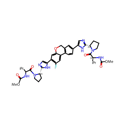 COC(=O)NC(C(=O)N1CCC[C@H]1c1ncc(-c2cc3c(cc2F)-c2ccc(-c4cnc([C@@H]5CCCN5C(=O)[C@@H](NC(=O)OC)C(C)C)[nH]4)cc2CO3)[nH]1)C(C)C